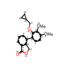 COc1ccc(-c2cccc3c2COC3=O)c(OCC2CC2)c1OC